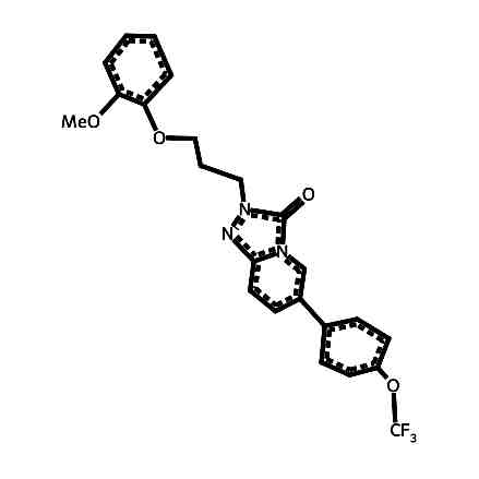 COc1ccccc1OCCCn1nc2ccc(-c3ccc(OC(F)(F)F)cc3)cn2c1=O